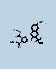 C=CC(F)(F)c1nc2cc(OC(F)(F)F)ccc2nc1O[C@@H]1C[C@@H](C(O)OC)N(C(=O)OC(C)(C)C)C1